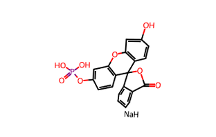 O=C1OC2(c3ccc(O)cc3Oc3cc(OP(=O)(O)O)ccc32)c2ccccc21.[NaH]